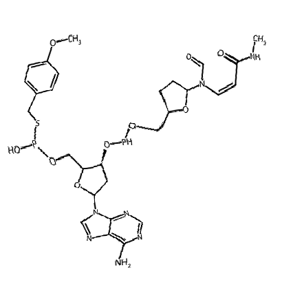 CNC(=O)/C=C\N(C=O)C1CCC(COPO[C@H]2CC(n3cnc4c(N)ncnc43)OC2COP(O)SCc2ccc(OC)cc2)O1